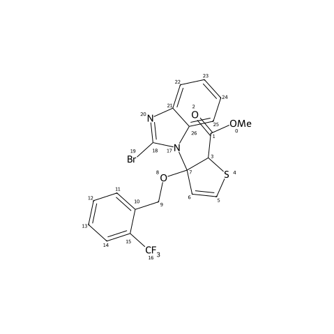 COC(=O)C1SC=CC1(OCc1ccccc1C(F)(F)F)n1c(Br)nc2ccccc21